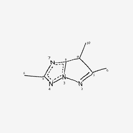 CC1=Nn2nc(C)nc2C1C